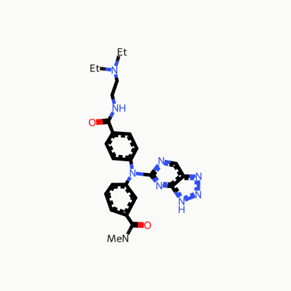 CCN(CC)CCNC(=O)c1ccc(N(c2cccc(C(=O)NC)c2)c2ncc3nn[nH]c3n2)cc1